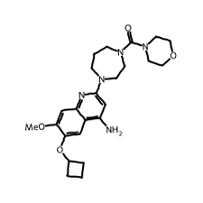 COc1cc2nc(N3CCCN(C(=O)N4CCOCC4)CC3)cc(N)c2cc1OC1CCC1